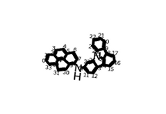 c1cc2ccc3ccc(Nc4ccc5c6cccc7c8ccccc8n(c5c4)c76)c4ccc(c1)c2c34